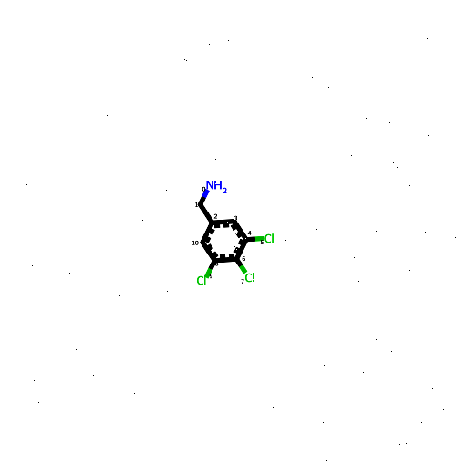 N[CH]c1cc(Cl)c(Cl)c(Cl)c1